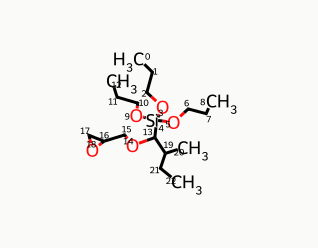 CCCO[Si](OCCC)(OCCC)C(OCC1CO1)C(C)CC